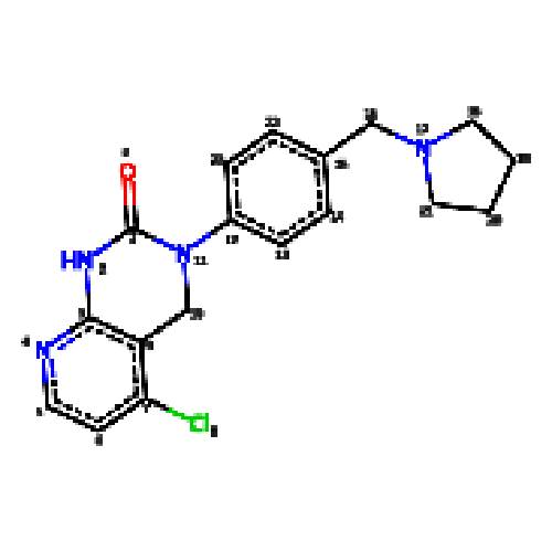 O=C1Nc2nccc(Cl)c2CN1c1ccc(CN2CCCC2)cc1